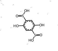 O=S(O)c1cc(O)c(S(=O)O)cc1O